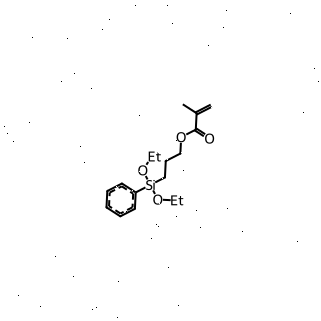 C=C(C)C(=O)OCCC[Si](OCC)(OCC)c1ccccc1